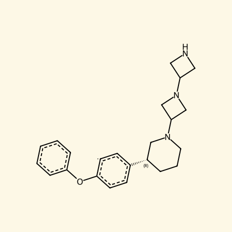 [c]1cc([C@H]2CCCN(C3CN(C4CNC4)C3)C2)ccc1Oc1ccccc1